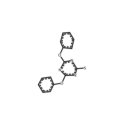 [S]c1nc(Oc2ccccc2)nc(Oc2ccccc2)n1